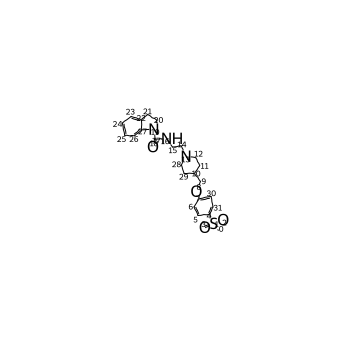 CS(=O)(=O)c1ccc(OCC2CCN(CCNC(=O)N3CCc4ccccc43)CC2)cc1